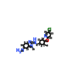 Cc1cc(CNc2nc3ccc(N)cc3n2C)ccc1Oc1ccc(Cl)cn1